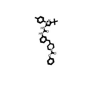 Cc1ccc(-n2nc(C(C)(C)C)cc2NC(=O)Nc2cccc(CC3CCN(C(=O)Oc4ccccc4)CC3)c2)cc1